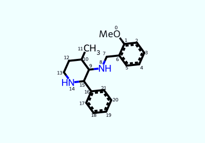 COc1ccccc1CNC1C(C)CCNC1c1ccccc1